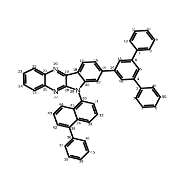 c1ccc(-c2cc(-c3ccccc3)cc(-c3ccc4c5nc6ccccc6nc5n(-c5cccc6c(-c7ccccc7)cccc56)c4c3)c2)cc1